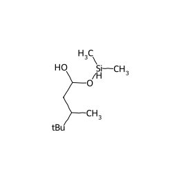 CC(CC(O)O[SiH](C)C)C(C)(C)C